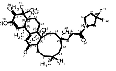 CC1(C)CCC2C(=O)C=C3[C@@]4(C)C=C(C#N)C(=O)C(C)(C)[C@@H]4CC[C@@]3(C)[C@]2(C)CC[C@@](C)(CCC(=O)N2CCC(F)(F)C2)CC1